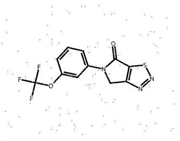 O=C1c2snnc2CN1c1cccc(OC(F)(F)F)c1